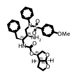 COc1ccc(S(=O)(=O)N(C[C@@H](N)[C@H](Cc2ccccc2)NC(=O)O[C@H]2CO[C@H]3OCC[C@H]32)c2ccccc2)cc1